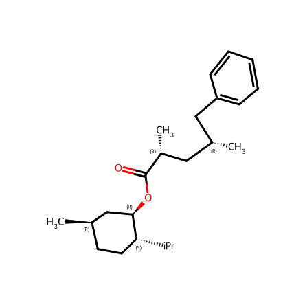 CC(C)[C@@H]1CC[C@@H](C)C[C@H]1OC(=O)[C@H](C)C[C@@H](C)Cc1ccccc1